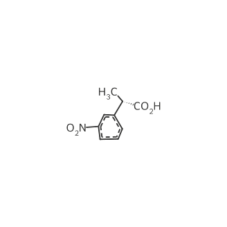 C[C@H](C(=O)O)c1cccc([N+](=O)[O-])c1